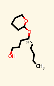 CCCCC[C@H](CCCO)OC1CCCCO1